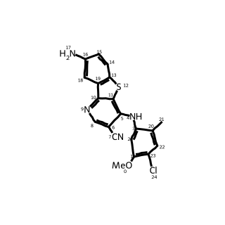 COc1cc(Nc2c(C#N)cnc3c2sc2ccc(N)cc23)c(C)cc1Cl